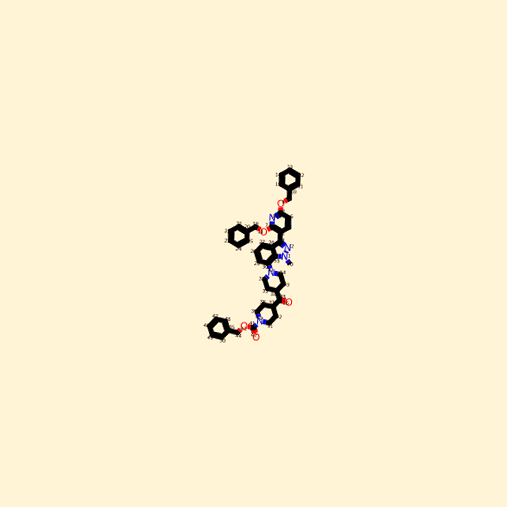 Cn1nc(-c2ccc(OCc3ccccc3)nc2OCc2ccccc2)c2cccc(N3CCC(C(=O)C4CCN(C(=O)OCc5ccccc5)CC4)CC3)c21